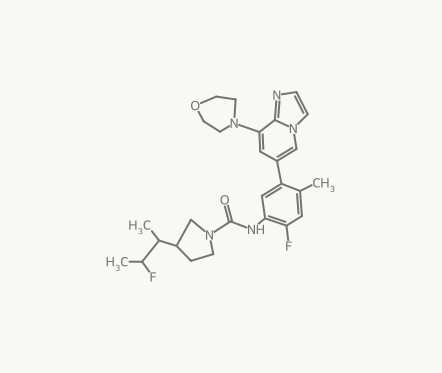 Cc1cc(F)c(NC(=O)N2CCC(C(C)C(C)F)C2)cc1-c1cc(N2CCOCC2)c2nccn2c1